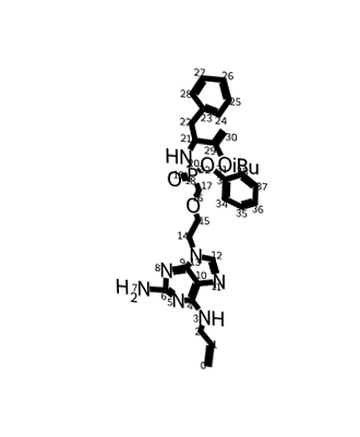 C=CCNc1nc(N)nc2c1ncn2CCOCP(=O)(NC(Cc1ccccc1)C(=C)OCC(C)C)Oc1ccccc1